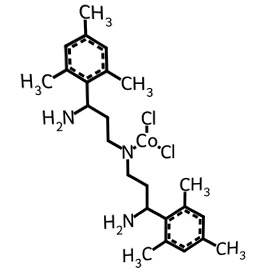 Cc1cc(C)c(C(N)CC[N](CCC(N)c2c(C)cc(C)cc2C)[Co]([Cl])[Cl])c(C)c1